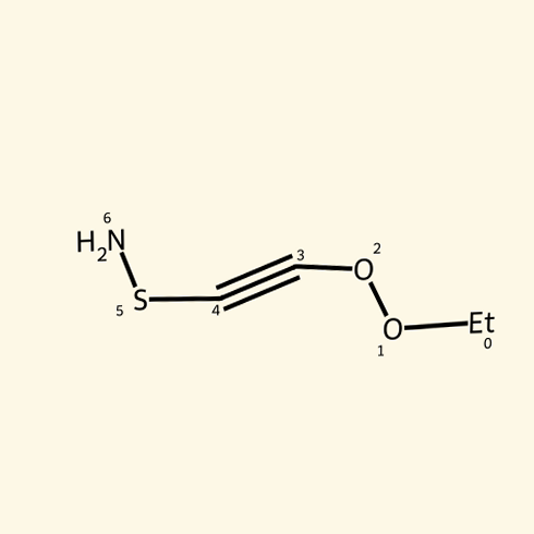 CCOOC#CSN